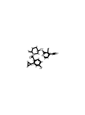 Cc1c(C#N)ccnc1OC1CCC(C)N(C(=O)c2ccc(F)cc2C2CC2)C1